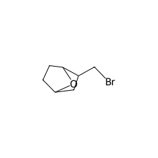 BrCC1CC2CCC1O2